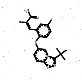 CC(=Cc1cc(F)ccc1Sc1ccc2nnc(C(C)(C)C)n2c1)C(N)=O